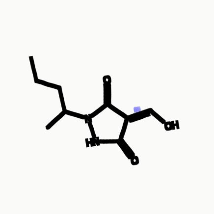 CCCC(C)N1NC(=O)/C(=C\O)C1=O